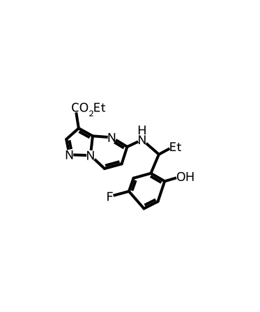 CCOC(=O)c1cnn2ccc(NC(CC)c3cc(F)ccc3O)nc12